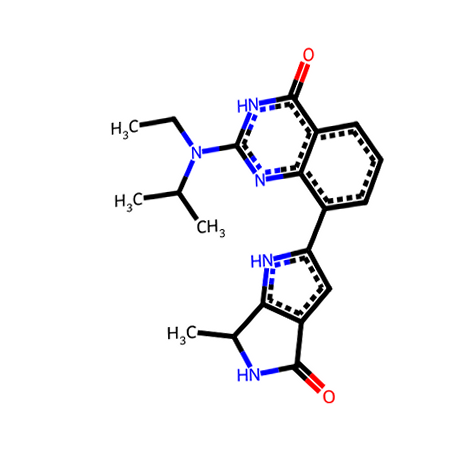 CCN(c1nc2c(-c3cc4c([nH]3)C(C)NC4=O)cccc2c(=O)[nH]1)C(C)C